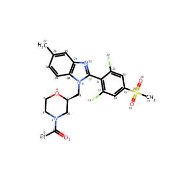 CCC(=O)N1CCO[C@@H](Cn2c(-c3c(F)cc(S(C)(=O)=O)cc3F)nc3cc(C)ccc32)C1